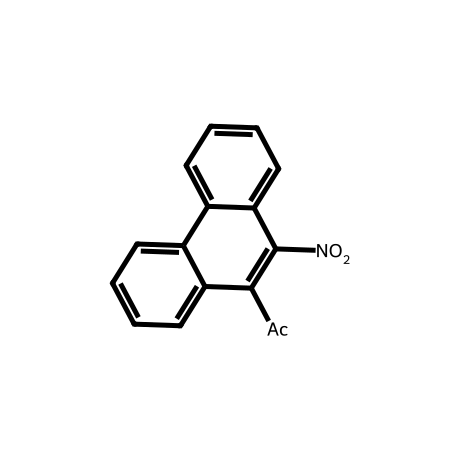 CC(=O)c1c([N+](=O)[O-])c2ccccc2c2ccccc12